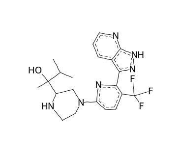 CC(C)C(C)(O)C1CN(c2ccc(C(F)(F)F)c(-c3n[nH]c4ncccc34)n2)CCN1